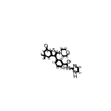 CC1(C)CC(=O)c2sc(N3CCOCC3)c(-c3cccc(C(=O)Nc4ncc[nH]4)c3)c2C1